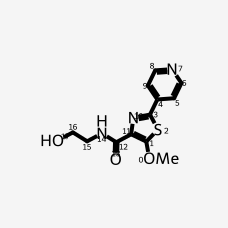 COc1sc(-c2ccncc2)nc1C(=O)NCCO